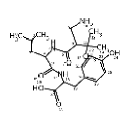 CC(C)CC(NC(=O)C(CN)C(C)(C)C)C(=O)NC(Cc1ccc(O)cc1)C(=O)O